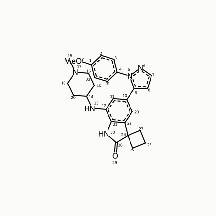 COc1ccc(-n2nccc2-c2cc(NC3CCN(C)CC3)c3c(c2)C2(CCC2)C(=O)N3)cc1